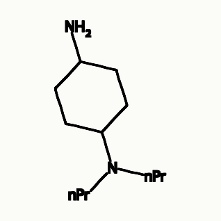 CCCN(CCC)C1CCC(N)CC1